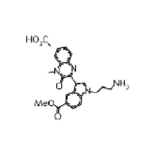 CC(=O)O.COC(=O)c1ccc2c(c1)c(-c1nc3ccccc3n(C)c1=O)cn2CCCN